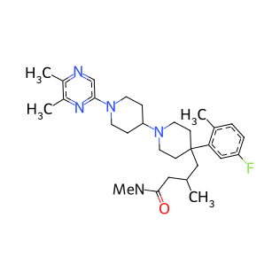 CNC(=O)CC(C)CC1(c2cc(F)ccc2C)CCN(C2CCN(c3cnc(C)c(C)n3)CC2)CC1